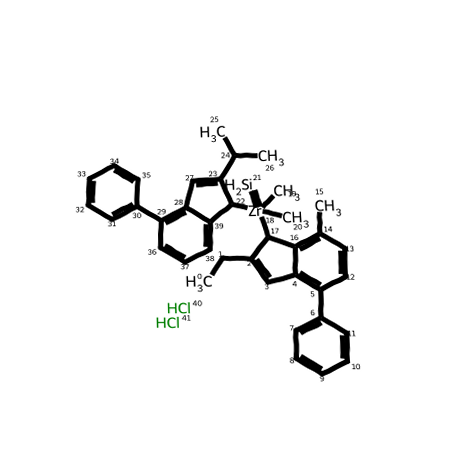 CCC1=Cc2c(-c3ccccc3)ccc(C)c2[CH]1[Zr]([CH3])([CH3])(=[SiH2])[CH]1C(C(C)C)=Cc2c(-c3ccccc3)cccc21.Cl.Cl